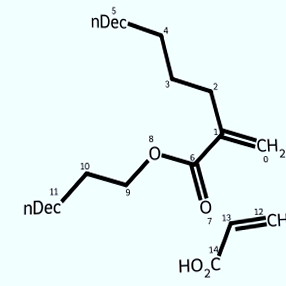 C=C(CCCCCCCCCCCCC)C(=O)OCCCCCCCCCCCC.C=CC(=O)O